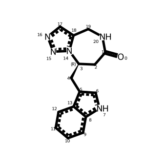 O=C1C[C@@H](Cc2c[nH]c3ccccc23)n2nncc2CN1